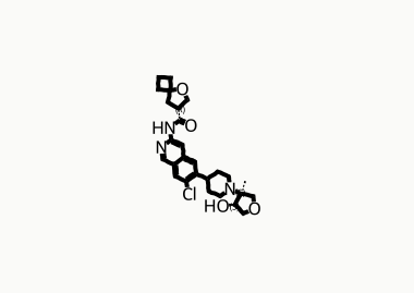 C[C@]1(N2CCC(c3cc4cc(NC(=O)[C@H]5COC6(CCC6)C5)ncc4cc3Cl)CC2)COC[C@H]1O